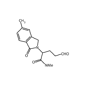 CNC(=O)C(CCC=O)N1Cc2cc(C)ccc2C1=O